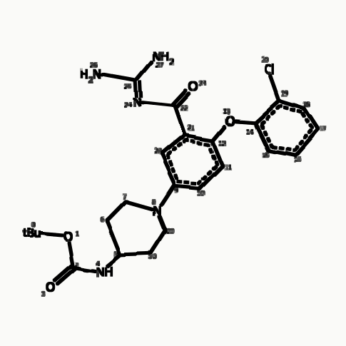 CC(C)(C)OC(=O)NC1CCN(c2ccc(Oc3ccccc3Cl)c(C(=O)N=C(N)N)c2)CC1